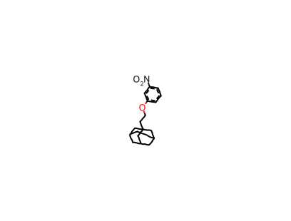 O=[N+]([O-])c1cccc(OCCC23CC4CC(CC(C4)C2)C3)c1